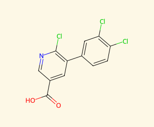 O=C(O)c1cnc(Cl)c(-c2ccc(Cl)c(Cl)c2)c1